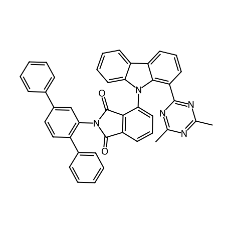 Cc1nc(C)nc(-c2cccc3c4ccccc4n(-c4cccc5c4C(=O)N(c4cc(-c6ccccc6)ccc4-c4ccccc4)C5=O)c23)n1